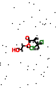 C=C(C(=O)OCCO)C(C)(Cl)Cl